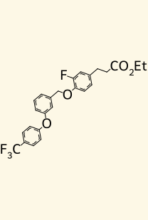 CCOC(=O)CCc1ccc(OCc2cccc(Oc3ccc(C(F)(F)F)cc3)c2)c(F)c1